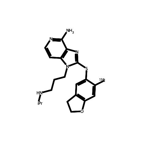 CC(C)NCCCn1c(Sc2cc3c(cc2[124I])OCC3)nc2c(N)nccc21